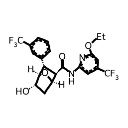 CCOc1cc(C(F)(F)F)cc(NC(=O)[C@@H]2[C@@H](c3cccc(C(F)(F)F)c3)[C@H]3O[C@@H]2C[C@@H]3O)n1